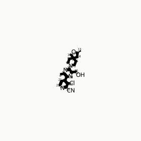 Cc1nc(N2CCC3(CC2)CO[C@@H](C)C3)c(CO)nc1-c1ccnc(C#N)c1Cl